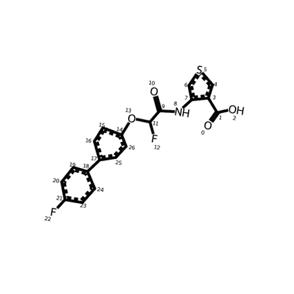 O=C(O)c1cscc1NC(=O)C(F)Oc1ccc(-c2ccc(F)cc2)cc1